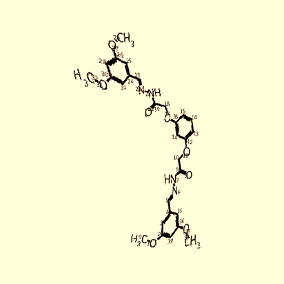 COc1cc(/C=N/NC(=O)COc2cccc(OCC(=O)N/N=C/c3cc(OC)cc(OC)c3)c2)cc(OC)c1